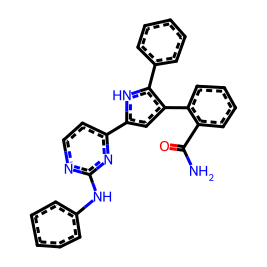 NC(=O)c1ccccc1-c1cc(-c2ccnc(Nc3ccccc3)n2)[nH]c1-c1ccccc1